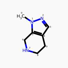 Cn1n[c]c2c1CNCC2